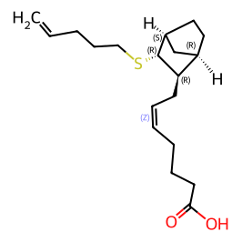 C=CCCCS[C@@H]1[C@H]2CC[C@H](C2)[C@H]1C/C=C\CCCC(=O)O